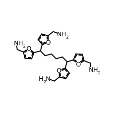 NCc1ccc(C(CCCCC(c2ccc(CN)o2)c2ccc(CN)o2)c2ccc(CN)o2)o1